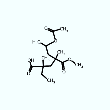 CCC(C)(CC(C)(CC(C)OC(C)=O)C(=O)OC)C(=O)O